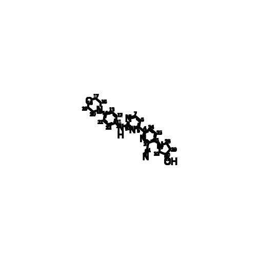 N#Cc1nc(-c2ccnc(Nc3ccc(N4CCOCC4)cc3)n2)ccc1N1CCC(O)C1